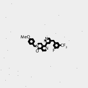 COc1ccc(CN2CCc3c(ccnc3-c3cc(Cc4cc(F)cc(C(F)(F)F)c4)cnn3)C2=O)cc1